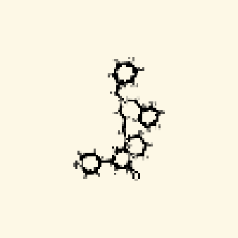 O=c1cc(-c2ccncc2)nc2n1CCCN2CCCN(Cc1ccccc1)Cc1ccccc1